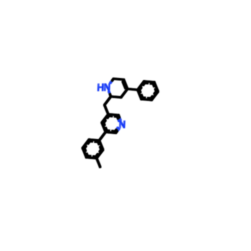 Cc1cccc(-c2cncc(CC3CC(c4ccccc4)=CCN3)c2)c1